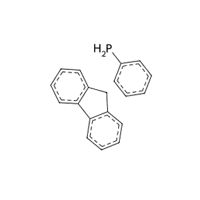 Pc1ccccc1.c1ccc2c(c1)Cc1ccccc1-2